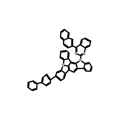 c1ccc(-c2ccc(-c3ccc4c5cc6c7ccccc7n(-c7nc(-c8ccc9ccccc9c8)c8ccccc8n7)c6c6c7ccccc7n(c4c3)c56)cc2)cc1